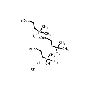 CCCCCCCCCCCC[N+](C)(C)C.CCCCCCCCCCCC[N+](C)(C)C.CCCCCCCCCCCC[N+](C)(C)C.[Cl-].[Cl-].[Cl-]